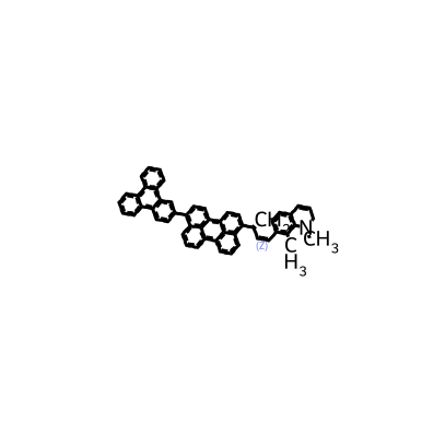 C=C(/C=C\c1ccc2c(c1C)N(C)CC=C2)c1ccc2c3ccc(-c4ccc5c6ccccc6c6ccccc6c5c4)c4cccc(c5cccc1c52)c43